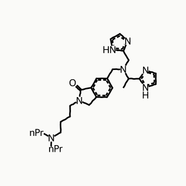 CCCN(CCC)CCCCN1Cc2ccc(CN(Cc3ncc[nH]3)C(C)c3ncc[nH]3)cc2C1=O